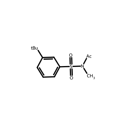 CC(=O)N(C)S(=O)(=O)c1cccc(C(C)(C)C)c1